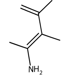 C=C(C)/C(C)=C(\C)N